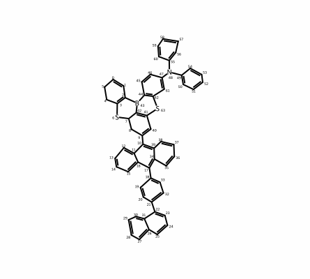 C1=CC2=C(CC1)SC1CC(c3c4ccccc4c(-c4ccc(-c5cccc6ccccc56)cc4)c4ccccc34)=CC3=C1B2c1ccc(N(c2ccccc2)c2ccccc2)cc1S3